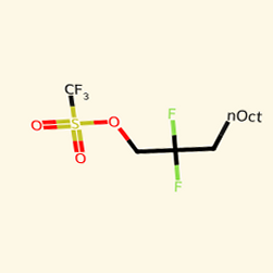 CCCCCCCCCC(F)(F)COS(=O)(=O)C(F)(F)F